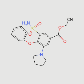 N#CCOC(=O)c1cc(N2CCCC2)c(Oc2ccccc2)c(S(N)(=O)=O)c1